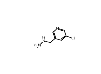 NNCc1cncc(Cl)c1